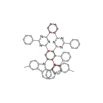 Cc1ccc2c(c1)c1ccccc1n2-c1ccc(-c2nc(-c3ccccc3)nc(-c3ccccc3)n2)cc1-c1ccccc1-c1ccccc1-c1cc(-c2nc(-c3ccccc3)nc(-c3ccccc3)n2)ccc1-n1c2ccccc2c2cc(C)ccc21